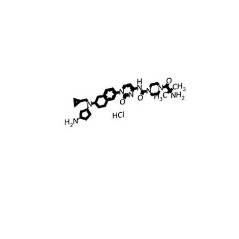 CC(C)(N)C(=O)N1CCN(C(=O)Nc2ccn(-c3ccc4c(c3)CCC(N(CC3CC3)[C@H]3CC[C@H](N)C3)C4)c(=O)n2)CC1.Cl